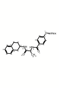 CCCCCCOc1ccc(C(=O)NC(C)C(=O)NC2CCc3ccccc3C2)cc1